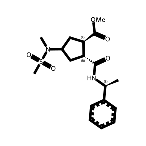 COC(=O)[C@@H]1CC(N(C)S(C)(=O)=O)C[C@H]1C(=O)N[C@@H](C)c1ccccc1